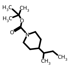 CCC(C)C1CCN(C(=O)OC(C)(C)C)CC1